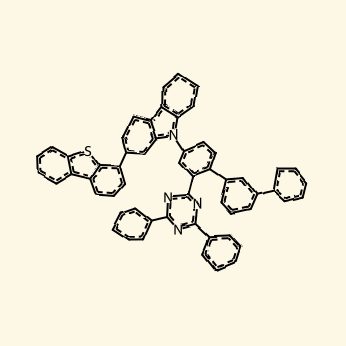 c1ccc(-c2cccc(-c3ccc(-n4c5ccccc5c5ccc(-c6cccc7c6sc6ccccc67)cc54)cc3-c3nc(-c4ccccc4)nc(-c4ccccc4)n3)c2)cc1